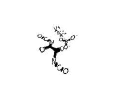 O=C=NC(=O)C(=O)N=C=O.[K+].[K+].[K+].[O-]B([O-])[O-]